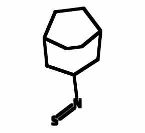 S=NC1CC2CCC(CC2)C1